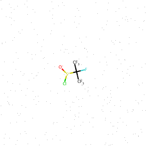 [O-][S+](Cl)C(F)(C(F)(F)F)C(F)(F)F